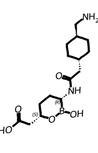 NC[C@H]1CC[C@H](CC(=O)N[C@H]2CC[C@@H](CC(=O)O)OB2O)CC1